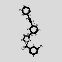 O=C(c1cccc(F)c1)N1CCC(c2cccc(C#Cc3ccccc3)c2)=N1